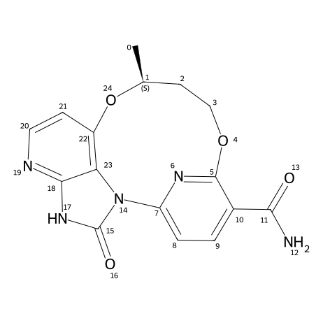 C[C@H]1CCOc2nc(ccc2C(N)=O)-n2c(=O)[nH]c3nccc(c32)O1